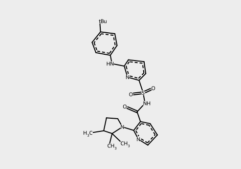 CC1CCN(c2ncccc2C(=O)NS(=O)(=O)c2cccc(Nc3ccc(C(C)(C)C)cc3)n2)C1(C)C